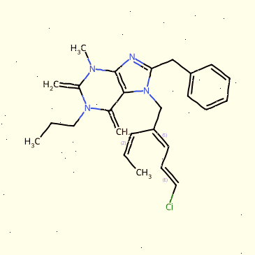 C=C1c2c(nc(Cc3ccccc3)n2CC(/C=C\C)=C/C=C/Cl)N(C)C(=C)N1CCC